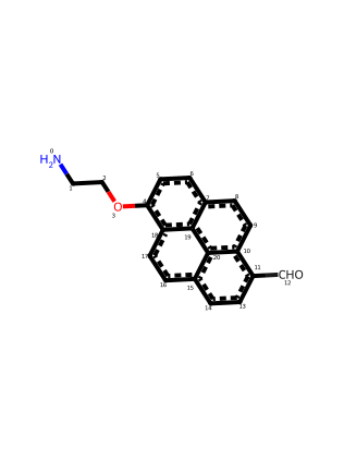 NCCOc1ccc2ccc3c(C=O)ccc4ccc1c2c43